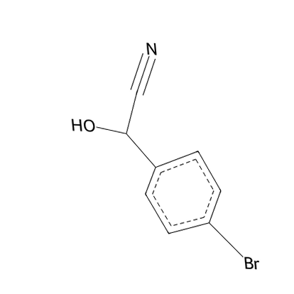 N#CC(O)c1ccc(Br)cc1